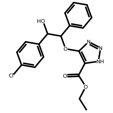 CCOC(=O)c1[nH]nnc1OC(c1ccccc1)C(O)c1ccc(Cl)cc1